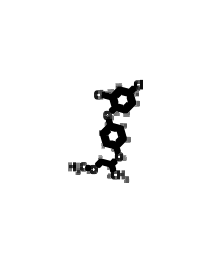 COCC(C)Oc1ccc(Oc2ccc(Cl)cc2Cl)cc1